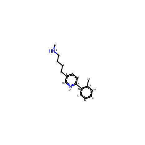 CNCCCCc1ccc(-c2ccccc2C)nc1